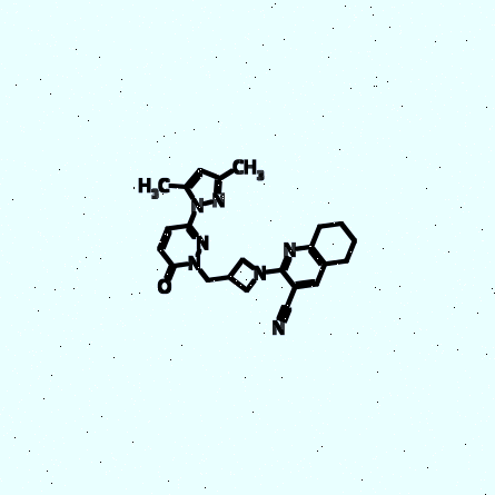 Cc1cc(C)n(-c2ccc(=O)n(CC3CN(c4nc5c(cc4C#N)CCCC5)C3)n2)n1